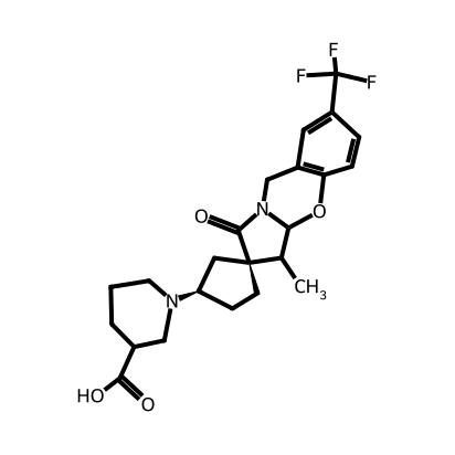 CC1C2Oc3ccc(C(F)(F)F)cc3CN2C(=O)[C@]12CC[C@@H](N1CCCC(C(=O)O)C1)C2